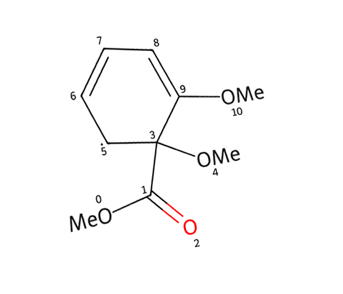 COC(=O)C1(OC)[CH]C=CC=C1OC